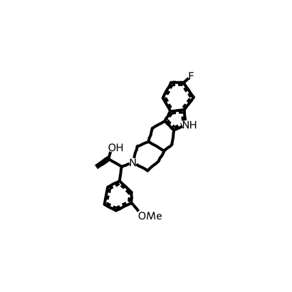 C=C(O)C(c1cccc(OC)c1)N1CCC2Cc3[nH]c4cc(F)ccc4c3CC2C1